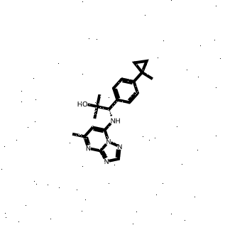 Cc1cc(N[C@@H](c2ccc(C3(C)CC3)cc2)C(C)(C)O)n2ncnc2n1